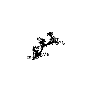 C=C1C[C@@H](CO[Si](C)(C)C(C)(C)C)N(C(=O)c2cc(OC)c(OCCCCCOc3cc(NC(=O)OCc4ccc(NC(=O)[C@H](CCCNC(N)=O)NC(=O)[C@@H](NC(=O)CCCCCN5C(=O)C=CC5=O)C(C)C)cc4)c(C(=O)N4CC(=C)C[C@H]4CO[Si](C)(C)C(C)(C)C)cc3OC)cc2NC(=O)OCc2ccccc2)C1